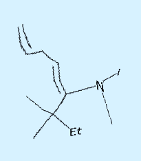 C=C/C=C(/N(C)I)C(C)(C)CC